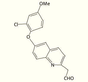 COc1ccc(Oc2ccc3nc(CC=O)ccc3c2)c(Cl)c1